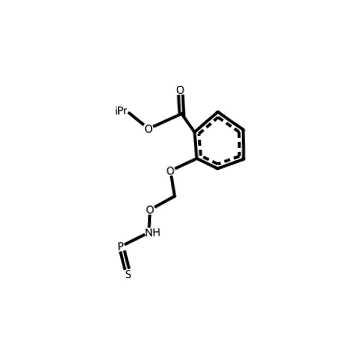 CC(C)OC(=O)c1ccccc1OCONP=S